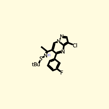 C/C(=N\SC(C)(C)C)c1cn2ncc(Cl)c2nc1-c1cccc(F)c1